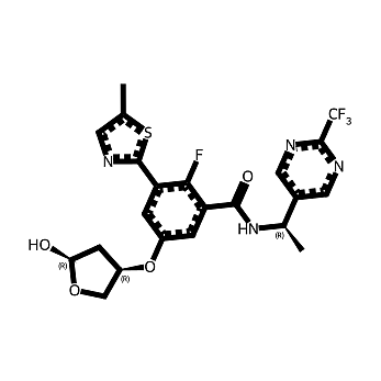 Cc1cnc(-c2cc(O[C@H]3CO[C@@H](O)C3)cc(C(=O)N[C@H](C)c3cnc(C(F)(F)F)nc3)c2F)s1